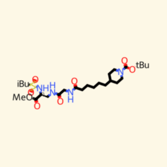 CCC(C)S(=O)(=O)N[C@@H](CNC(=O)CNC(=O)CCCCCC1CCN(C(=O)OC(C)(C)C)CC1)C(=O)OC